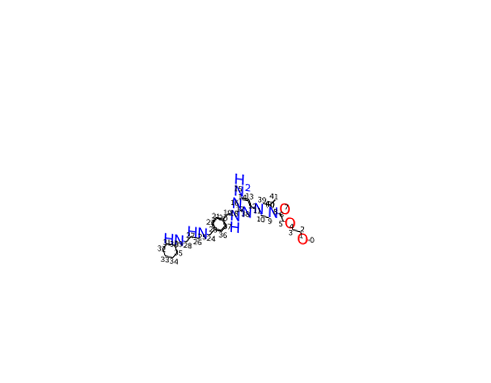 COCCOCC(=O)N1CCN(c2cc(N)nc(NCc3ccc(CNCCCNC4CCCCC4)cc3)n2)C[C@H]1C